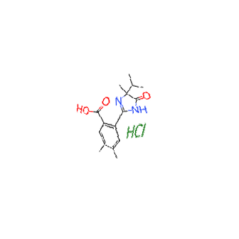 Cc1cc(C(=O)O)c(C2=NC(C)(C(C)C)C(=O)N2)cc1C.Cl